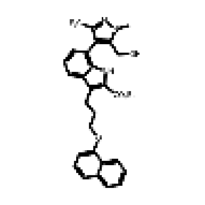 CCOC(=O)c1[nH]c2c(-c3c(C(F)(F)F)nn(C)c3CO)cccc2c1CCCOc1cccc2ccccc12